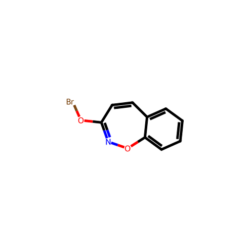 BrOC1=NOc2ccccc2C=C1